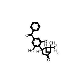 CC1(C)C2CC1[C@H](c1c(O)cc(C(=O)c3ccccc3)cc1O)CC2=O